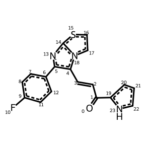 O=C(C=Cc1c(-c2ccc(F)cc2)nc2sccn12)c1ccc[nH]1